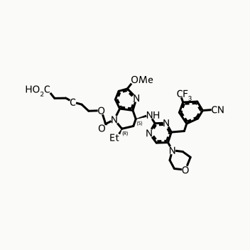 CC[C@@H]1C[C@H](Nc2ncc(N3CCOCC3)c(Cc3cc(C#N)cc(C(F)(F)F)c3)n2)c2nc(OC)ccc2N1C(=O)OCCCCCC(=O)O